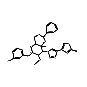 COC1C(n2cc(-c3csc(N)n3)nn2)[C@H]2OC(c3ccccc3)OCC2O[C@@H]1Sc1cccc(Cl)c1